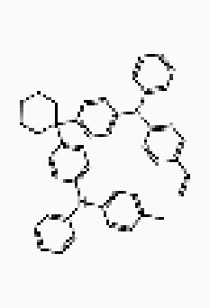 C=Cc1ccc(N(c2ccccc2)c2ccc(C3(c4ccc(N(c5ccccc5)c5ccc(C)cc5)cc4)CCCCC3)cc2)cc1